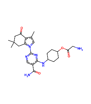 Cc1cn(-c2ncc(C(N)=O)c(NC3CCC(OC(=O)CN)CC3)n2)c2c1C(=O)CC(C)(C)C2